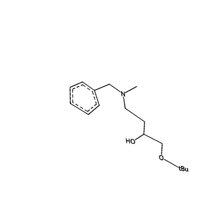 CN(CCC(O)COC(C)(C)C)Cc1ccccc1